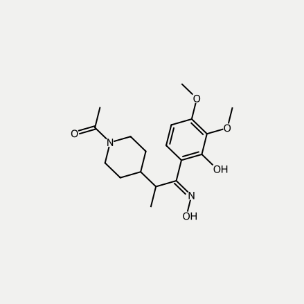 COc1ccc(C(=NO)C(C)C2CCN(C(C)=O)CC2)c(O)c1OC